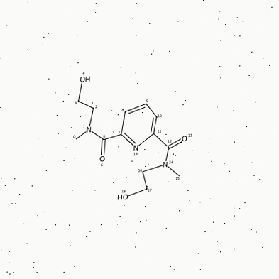 CN(CCO)C(=O)c1cccc(C(=O)N(C)CCO)n1